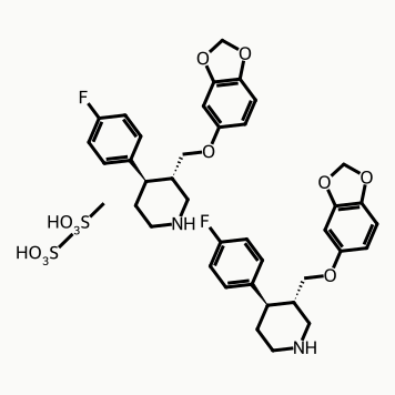 CS(=O)(=O)O.CS(=O)(=O)O.Fc1ccc([C@@H]2CCNC[C@H]2COc2ccc3c(c2)OCO3)cc1.Fc1ccc([C@@H]2CCNC[C@H]2COc2ccc3c(c2)OCO3)cc1